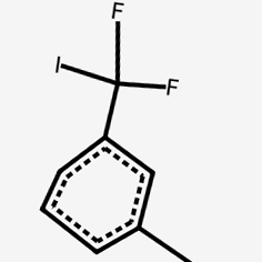 Cc1cccc(C(F)(F)I)c1